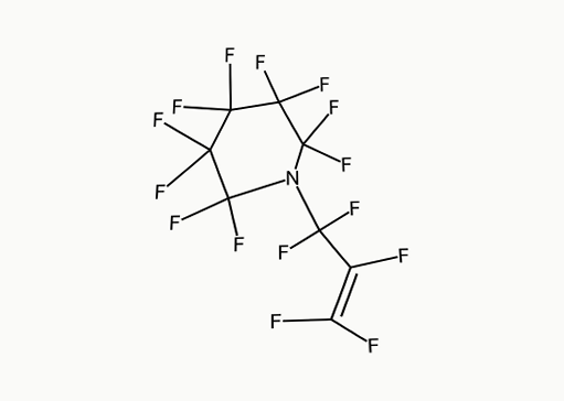 FC(F)=C(F)C(F)(F)N1C(F)(F)C(F)(F)C(F)(F)C(F)(F)C1(F)F